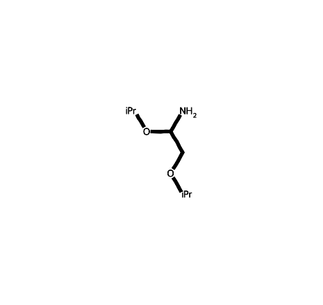 CC(C)OCC(N)OC(C)C